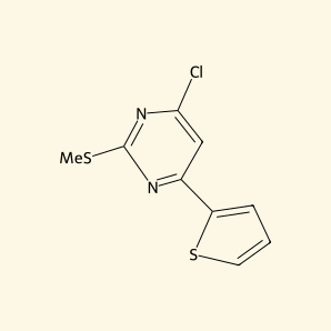 CSc1nc(Cl)cc(-c2cccs2)n1